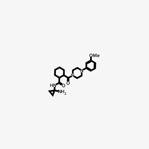 COc1cccc(N2CCN(C(=O)C3CCCCC3C(=O)NC3(N)CC3)CC2)c1